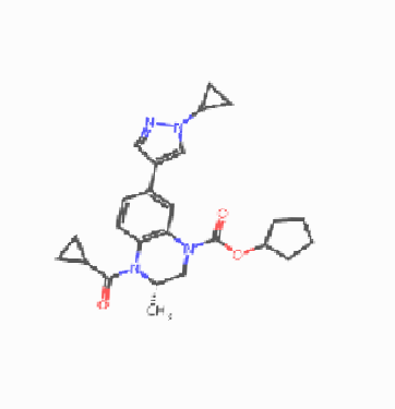 C[C@H]1CN(C(=O)OC2CCCC2)c2cc(-c3cnn(C4CC4)c3)ccc2N1C(=O)C1CC1